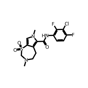 CN1CCc2c(cn(C)c2C(=O)Nc2ccc(F)c(Cl)c2F)S(=O)(=O)C1